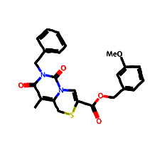 COc1cccc(COC(=O)C2=Cn3c(c(C)c(=O)n(Cc4ccccc4)c3=O)CS2)c1